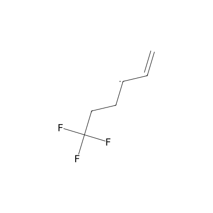 C=C[CH]CCC(F)(F)F